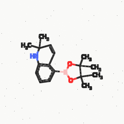 CC1(C)C=Cc2c(cccc2B2OC(C)(C)C(C)(C)O2)N1